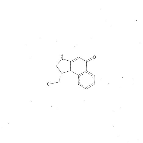 O=C1C=C2NC[C@@H](CCl)C2c2ccccc21